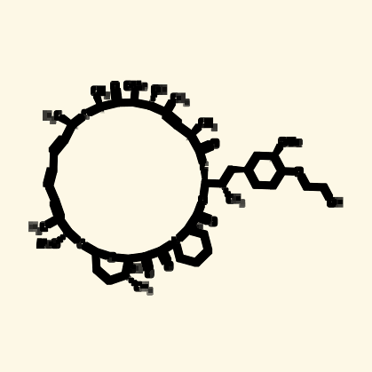 COC1C(=O)[C@H](C)C[C@H](C)/C=C/C=C/C=C(\C)[C@@H](OC)CC2CC[C@@H](C)[C@@](O)(O2)C(=O)C(=O)N2CCCC[C@H]2C(=O)O[C@H]([C@@H](C)C[C@@H]2CCC(OCCO)[C@H](OC)C2)CC(=O)[C@H](C)/C=C(\C)[C@H]1O